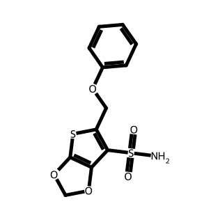 NS(=O)(=O)c1c(COc2ccccc2)sc2c1OCO2